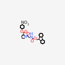 O=C(NCC(=O)N1CCC[C@H]1C(=O)Oc1ccc([N+](=O)[O-])cc1)OCC1c2ccccc2-c2ccccc21